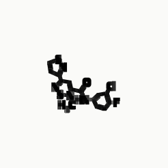 CN1SN=C(c2ccsn2)C=C1C(=O)Nc1ccc(F)c(Cl)c1